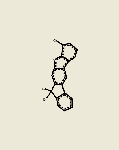 CCC1(CC)c2ccccc2-c2cc3c(cc21)oc1c(Cl)cccc13